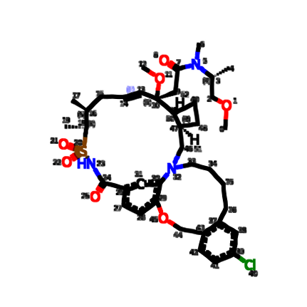 COC[C@@H](C)N(C)C(=O)C[C@]1(OC)/C=C/C[C@H](C)[C@@H](C)S(=O)(=O)NC(=O)c2ccc3c(c2)N(CCCCc2cc(Cl)ccc2CO3)C[C@@H]2CC[C@H]21